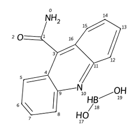 NC(=O)c1c2ccccc2nc2ccccc12.OBO